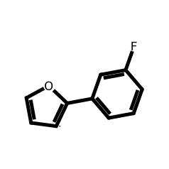 Fc1cccc(-c2[c]cco2)c1